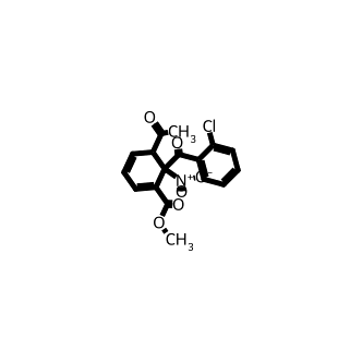 COC(=O)C1=CC=CC(C(C)=O)C1(C(=O)c1ccccc1Cl)[N+](=O)[O-]